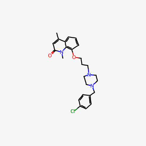 Cc1cc(=O)n(C)c2c(OCCCN3CCN(Cc4ccc(Cl)cc4)CC3)cccc12